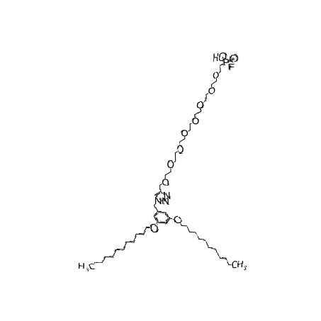 CCCCCCCCCCCCOc1cc(Cn2cc(COCCOCCOCCOCCOCCOCCOCCOCCP(=O)(O)F)nn2)cc(OCCCCCCCCCCCC)c1